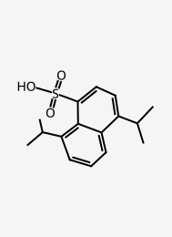 CC(C)c1ccc(S(=O)(=O)O)c2c(C(C)C)cccc12